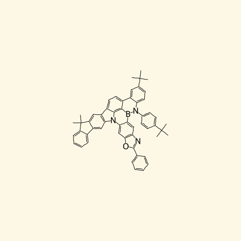 CC(C)(C)c1ccc(N2B3c4cc5nc(-c6ccccc6)oc5cc4-n4c5cc6c(cc5c5ccc(c3c54)-c3cc(C(C)(C)C)ccc32)C(C)(C)c2ccccc2-6)cc1